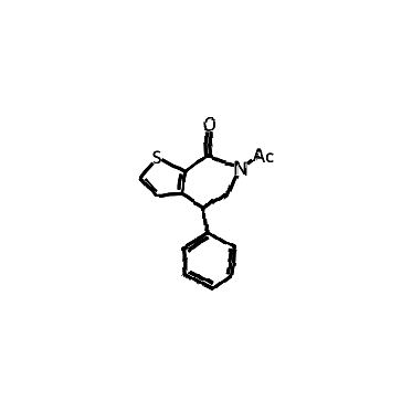 CC(=O)N1CC(c2ccccc2)c2ccsc2C1=O